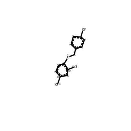 Clc1ccc(COc2ccc(Cl)cc2Cl)cc1